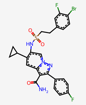 NC(=O)c1c(-c2ccc(F)cc2)nn2cc(NS(=O)(=O)CCc3ccc(Br)c(F)c3)c(C3CC3)cc12